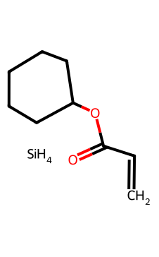 C=CC(=O)OC1CCCCC1.[SiH4]